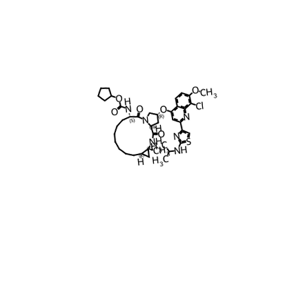 COc1ccc2c(O[C@@H]3C[C@H]4C(=O)N[C@]5(C)C[C@H]5CCCCCCC[C@H](NC(=O)OC5CCCC5)C(=O)N4C3)cc(-c3csc(NC(C)C)n3)nc2c1Cl